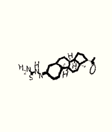 CC(=O)[C@H]1CC[C@H]2[C@@H]3CCC4=CC(=NNC(N)=S)CC[C@]4(C)[C@H]3CC[C@]12C